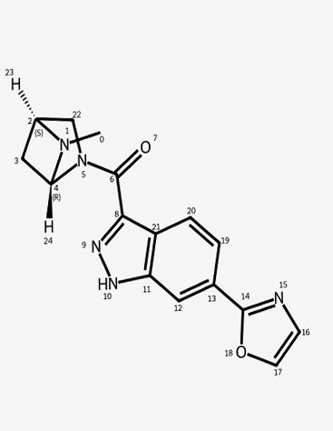 CN1[C@H]2C[C@H]1N(C(=O)c1n[nH]c3cc(-c4ncco4)ccc13)C2